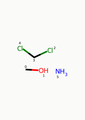 CO.ClCCl.N